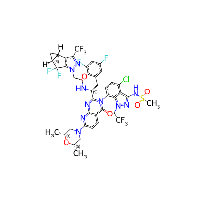 C[C@@H]1CN(c2ccc3c(=O)n(-c4ccc(Cl)c5c(NS(C)(=O)=O)nn(CC(F)(F)F)c45)c([C@H](Cc4cc(F)cc(F)c4)NC(=O)Cn4nc(C(F)(F)F)c5c4C(F)(F)[C@@H]4C[C@H]54)nc3n2)C[C@H](C)O1